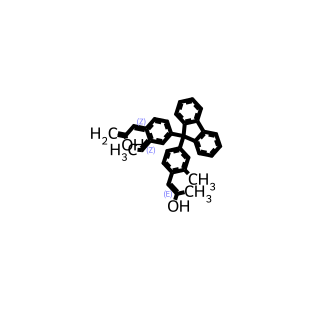 C=C(O)/C=c1/ccc(C2(c3ccc(/C=C(\C)O)c(C)c3)c3ccccc3-c3ccccc32)c/c1=C/C